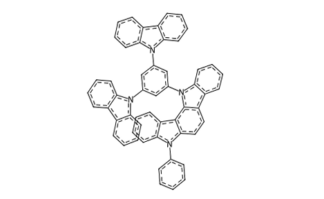 c1ccc(-n2c3ccccc3c3c2ccc2c4ccccc4n(-c4cc(-n5c6ccccc6c6ccccc65)cc(-n5c6ccccc6c6ccccc65)c4)c23)cc1